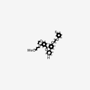 COCCCN1CCOc2ccc(CO[C@H]3CNCC[C@@H]3c3ccc(OCCOc4cccc(F)c4)cc3)cc21